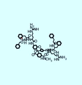 CNC(=O)c1ccc2c(c1)C1(OC2=O)c2ccc(NC(=O)C(CCCNC(=N)N)NC(=O)C(Cc3ccccc3)NC(=O)CCc3ccccc3)cc2Oc2cc(NC(=O)C(CCCNC(=N)N)NC(=O)C(Cc3ccccc3)NC(=O)OCc3ccccc3)ccc21